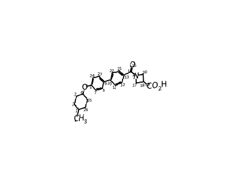 CC1CCC(Oc2ccc(-c3ccc(C(=O)N4CC(C(=O)O)C4)cc3)cc2)CC1